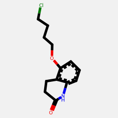 O=C1CCc2c(cccc2OCCCCCl)N1